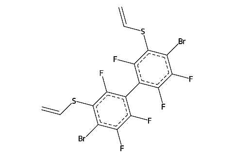 C=CSc1c(F)c(-c2c(F)c(F)c(Br)c(SC=C)c2F)c(F)c(F)c1Br